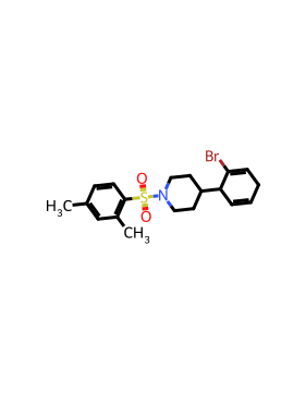 Cc1ccc(S(=O)(=O)N2CCC(C3C=CCC=C3Br)CC2)c(C)c1